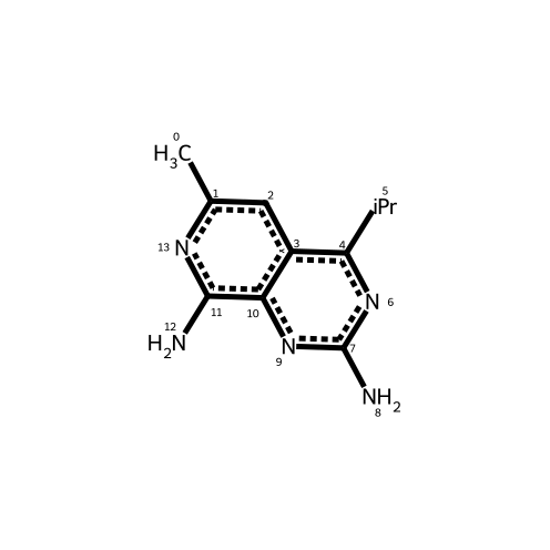 Cc1cc2c(C(C)C)nc(N)nc2c(N)n1